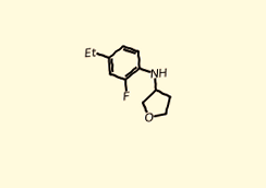 CCc1ccc(NC2CCOC2)c(F)c1